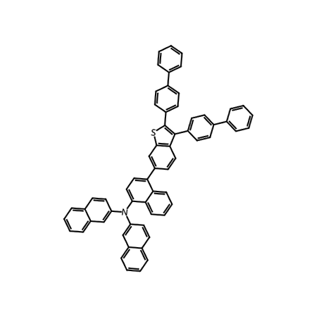 c1ccc(-c2ccc(-c3sc4cc(-c5ccc(N(c6ccc7ccccc7c6)c6ccc7ccccc7c6)c6ccccc56)ccc4c3-c3ccc(-c4ccccc4)cc3)cc2)cc1